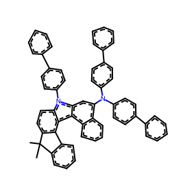 CC1(C)c2ccccc2-c2c1ccc1c2c2c3ccccc3c(N(c3ccc(-c4ccccc4)cc3)c3ccc(-c4ccccc4)cc3)cc2n1-c1ccc(-c2ccccc2)cc1